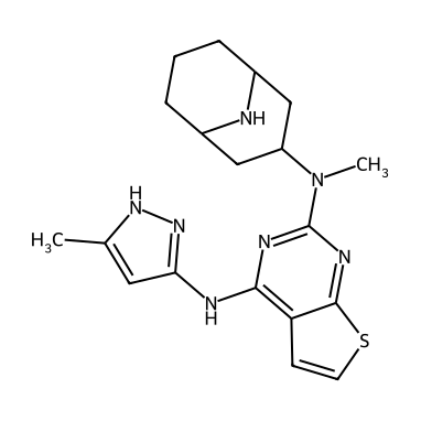 Cc1cc(Nc2nc(N(C)C3CC4CCCC(C3)N4)nc3sccc23)n[nH]1